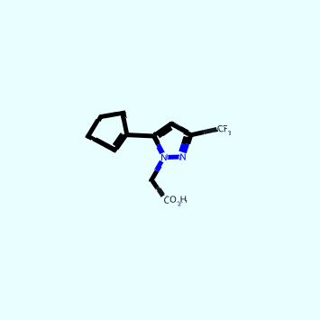 O=C(O)Cn1nc(C(F)(F)F)cc1C1=CCCC1